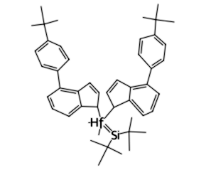 CC(C)(C)c1ccc(-c2cccc3c2C=C[CH]3[Hf]([CH3])([CH3])([CH]2C=Cc3c(-c4ccc(C(C)(C)C)cc4)cccc32)=[Si](C(C)(C)C)C(C)(C)C)cc1